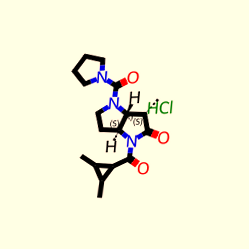 CC1C(C)C1C(=O)N1C(=O)[C@@H](C)[C@@H]2[C@@H]1CCN2C(=O)N1CCCC1.Cl